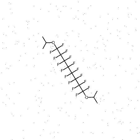 CC(C)OC(F)(F)C(F)(F)C(F)(F)C(F)(F)C(F)(F)C(F)(F)C(F)(F)C(F)(F)OC(C)C